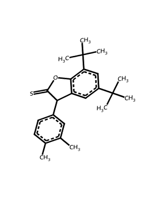 Cc1ccc(C2C(=S)Oc3c2cc(C(C)(C)C)cc3C(C)(C)C)cc1C